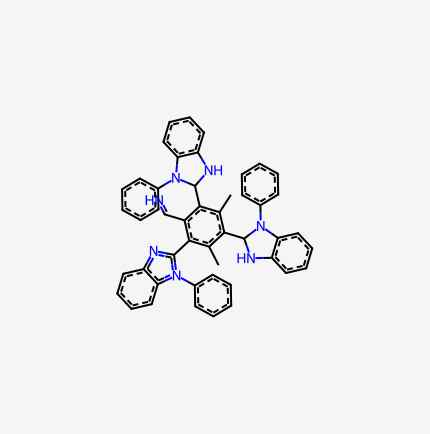 Cc1c(-c2nc3ccccc3n2-c2ccccc2)c(C=N)c(C2Nc3ccccc3N2c2ccccc2)c(C)c1C1Nc2ccccc2N1c1ccccc1